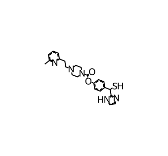 Cc1cccc(CCN2CCN(C(=O)Oc3ccc(C(S)c4ncc[nH]4)cc3)CC2)n1